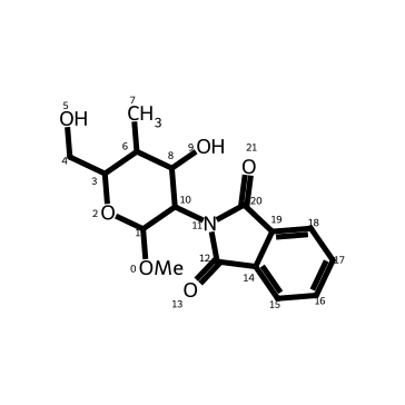 COC1OC(CO)C(C)C(O)C1N1C(=O)c2ccccc2C1=O